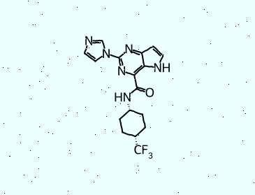 O=C(N[C@H]1CC[C@@H](C(F)(F)F)CC1)c1nc(-n2ccnc2)nc2cc[nH]c12